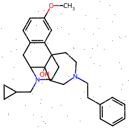 COc1ccc2c(c1)C13CCN(CCc4ccccc4)CCC1(O)C(C2)N(CC1CC1)CC3